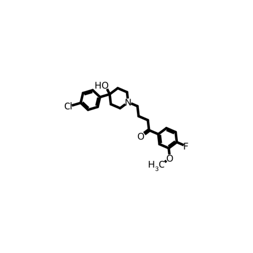 COc1cc(C(=O)CCCN2CCC(O)(c3ccc(Cl)cc3)CC2)ccc1F